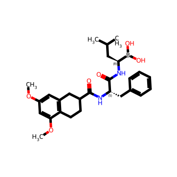 COc1cc2c(c(OC)c1)CCC(C(=O)N[C@@H](Cc1ccccc1)C(=O)N[C@@H](CC(C)C)B(O)O)C2